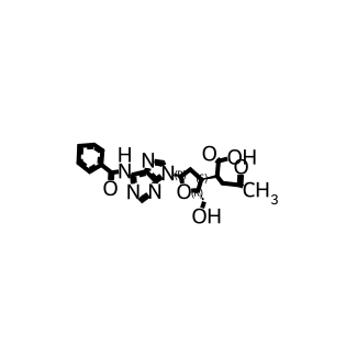 CC(=O)CC(C(=O)O)[C@@H]1C[C@H](n2cnc3c(NC(=O)c4ccccc4)ncnc32)O[C@H]1CO